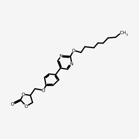 CCCCCCCCOc1ncc(-c2ccc(OCC3COC(=O)O3)cc2)cn1